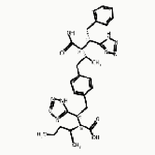 CCCC(C)[C@H](C(=O)O)[C@H](Cc1ccc(CC(C)[C@H](C(=O)O)[C@H](Cc2ccccc2)c2nnn[nH]2)cc1)c1nnn[nH]1